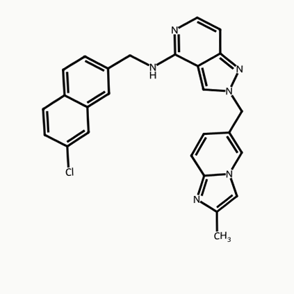 Cc1cn2cc(Cn3cc4c(NCc5ccc6ccc(Cl)cc6c5)nccc4n3)ccc2n1